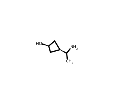 CC(N)[C@H]1C[C@@H](O)C1